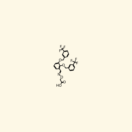 O=C(O)CON=Cc1cccc(OCc2cccc(C(F)(F)F)c2)c1OCc1cccc(C(F)(F)F)c1